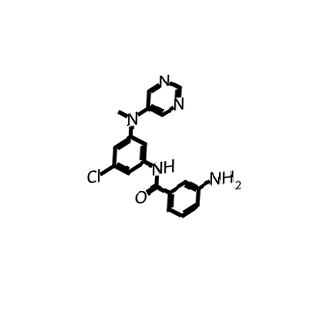 CN(c1cncnc1)c1cc(Cl)cc(NC(=O)c2cccc(N)c2)c1